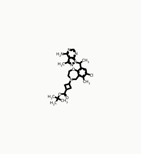 Cc1c(Cl)cc(C(C)n2nc(C)c3c(N)ncnc32)c2c1CN(C1CC(C(=O)OC(C)(C)C)C1)CCO2